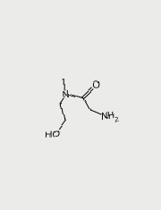 CN(CCO)C(=O)CN